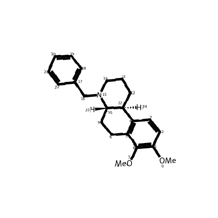 COc1ccc2c(c1OC)CC[C@H]1[C@H]2CCCN1Cc1ccccc1